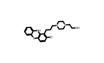 OCCN1CCN(CCCc2c(Cl)ccc3c2Nc2ccccc2S3)CC1